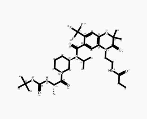 CCC(=O)NCCN1C(=O)C(C)(C)Oc2cc(C(F)(F)F)c(C(=O)N(C(C)C)[C@@H]3CCCN(C(=O)[C@H](C)NC(=O)OC(C)(C)C)C3)cc21